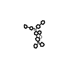 c1ccc(-c2ccc(N(c3ccc(-c4ccccc4)cc3)c3ccc4c5c(cccc35)Oc3cc(N(c5ccccc5)c5ccccc5)ccc3-4)cc2)cc1